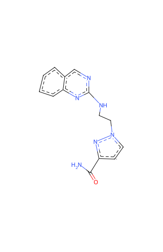 NC(=O)c1[c]cn(CCNc2ncc3ccccc3n2)n1